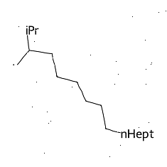 [CH2]C(CCCCCCCCCCCCC)C(C)C